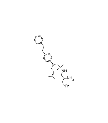 CC(C)=CCN(CC(C)(C)NC[C@@H](N)CC(C)C)c1ccc(CCc2ccccc2)cc1